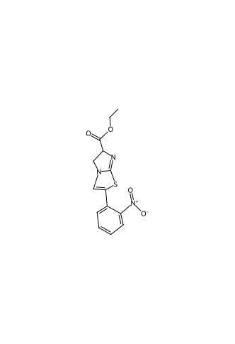 CCOC(=O)C1CN2C=C(c3ccccc3[N+](=O)[O-])SC2=N1